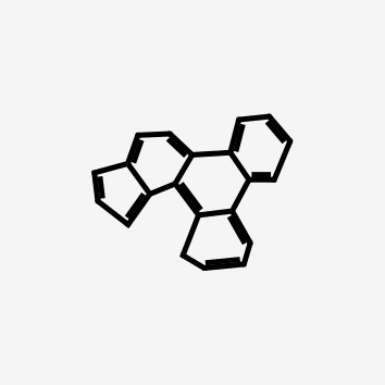 C1=CCc2c(c3ccccc3c3ccc4c(c23)=CC=C4)=C1